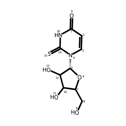 O=c1ccn([C@@H]2OC(CO)C(O)C2O)c(=S)[nH]1